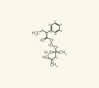 CCC(C(=O)OOOC(C)(C)CC(C)O)c1ccccc1